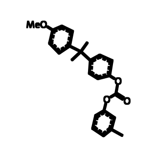 COc1ccc(C(C)(C)c2ccc(OC(=O)Oc3cccc(C)c3)cc2)cc1